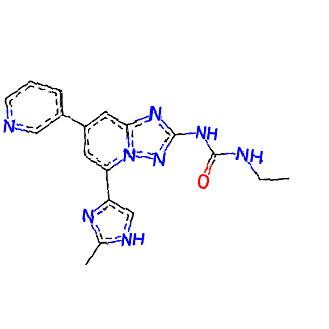 CCNC(=O)Nc1nc2cc(-c3cccnc3)cc(-c3c[nH]c(C)n3)n2n1